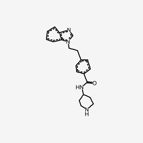 O=C(NC1CCNCC1)c1ccc(CCn2cnc3ccccc32)cc1